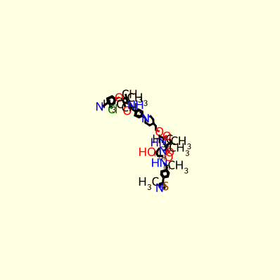 Cc1ncsc1-c1ccc([C@H](C)NC(=O)[C@@H]2C[C@@H](O)CN2C(=O)[C@@H](NC(=O)COCCC2CCN(c3ccc(C(=O)N[C@H]4C(C)(C)[C@H](Oc5ccc(C#N)c(Cl)c5)C4(C)C)cc3)CC2)C(C)(C)C)cc1